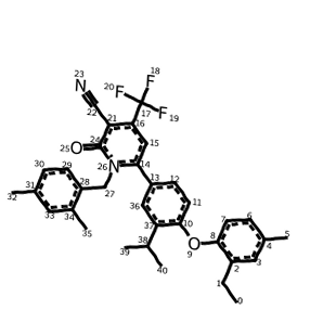 CCc1cc(C)ccc1Oc1ccc(-c2cc(C(F)(F)F)c(C#N)c(=O)n2Cc2ccc(C)cc2C)cc1C(C)C